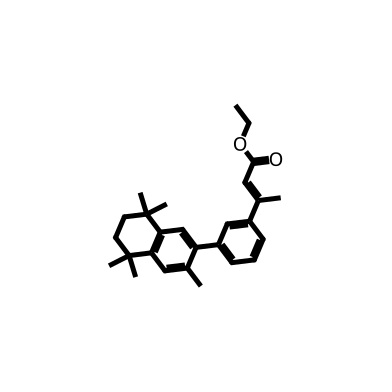 CCOC(=O)C=C(C)c1cccc(-c2cc3c(cc2C)C(C)(C)CCC3(C)C)c1